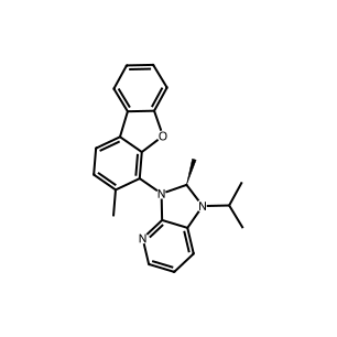 Cc1ccc2c(oc3ccccc32)c1N1c2ncccc2N(C(C)C)[C@@H]1C